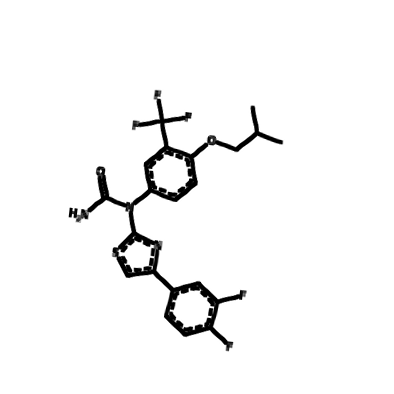 CC(C)COc1ccc(N(C(N)=O)c2nc(-c3ccc(F)c(F)c3)cs2)cc1C(F)(F)F